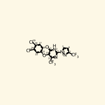 O=c1[nH]c(-n2ccc(C(F)(F)F)n2)nc(C(F)(F)F)c1Oc1ccc(Cl)c(Cl)c1